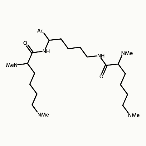 CNCCCCC(NC)C(=O)NCCCCC(NC(=O)C(CCCCNC)NC)C(C)=O